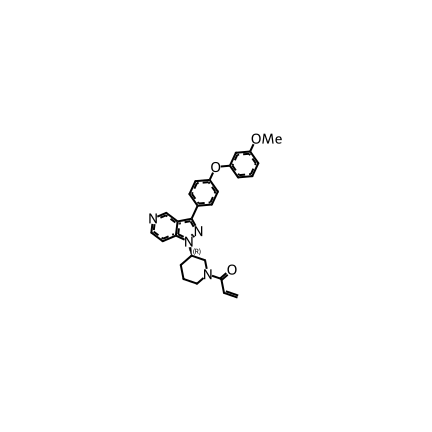 C=CC(=O)N1CCC[C@@H](n2nc(-c3ccc(Oc4cccc(OC)c4)cc3)c3cnccc32)C1